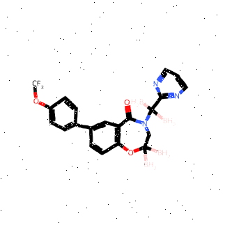 BC1(B)CN(C(B)(B)c2ncccn2)C(=O)c2cc(-c3ccc(OC(F)(F)F)cc3)ccc2O1